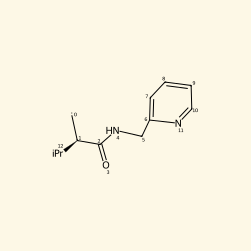 [CH2][C@@H](C(=O)NCc1ccccn1)C(C)C